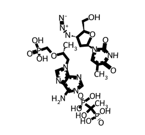 CC(O)(P(=O)(O)O)P(=O)(O)O.C[C@H](Cn1cnc2c(N)ncnc21)OCP(=O)(O)O.Cc1cn([C@H]2C[C@H](N=[N+]=[N-])[C@@H](CO)O2)c(=O)[nH]c1=O